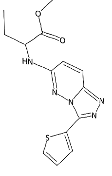 CCC(Nc1ccc2nnc(-c3cccs3)n2n1)C(=O)OC